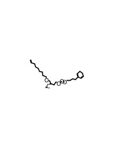 C=C=C(CCOOOCCCCC1=CCCC=C1)COCCCCCCCC=C